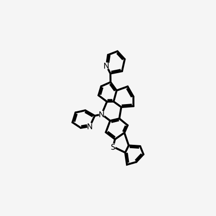 c1ccc(-c2ccc3c4c(cccc24)-c2cc4c(cc2N3c2ccccn2)sc2ccccc24)nc1